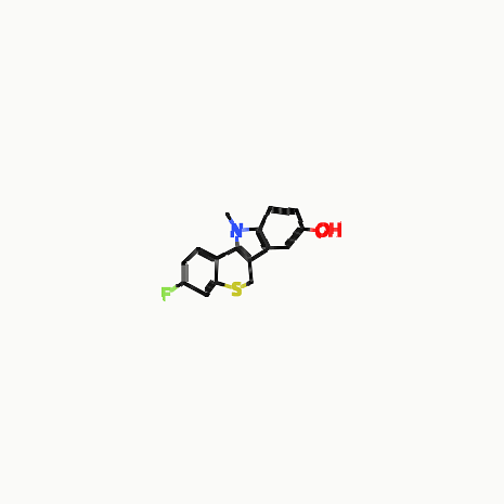 Cn1c2c(c3cc(O)ccc31)CSc1cc(F)ccc1-2